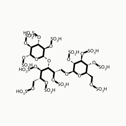 O=S(=O)(O)OC[C@H]1O[C@@H](OC[C@H](OS(=O)(=O)O)[C@@H](O[C@@H]2O[C@H](OS(=O)(=O)O)[C@@H](OS(=O)(=O)O)[C@H](OS(=O)(=O)O)[C@H]2OS(=O)(=O)O)[C@H](OS(=O)(=O)O)[C@@H](COS(=O)(=O)O)OS(=O)(=O)O)[C@H](OS(=O)(=O)O)[C@@H](OS(=O)(=O)O)[C@@H]1OS(=O)(=O)O